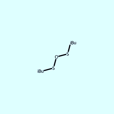 CCC(C)SOSC(C)CC